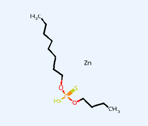 CCCCCCCCOP(=S)(S)OCCCC.[Zn]